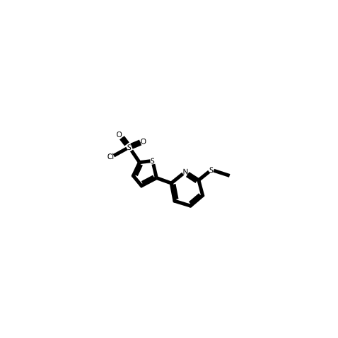 CSc1cccc(-c2ccc(S(=O)(=O)Cl)s2)n1